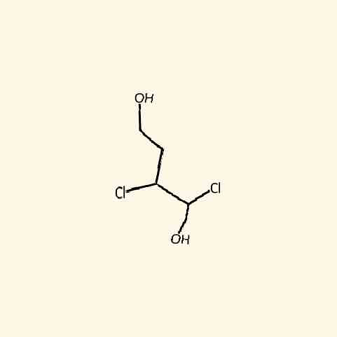 OCCC(Cl)C(O)Cl